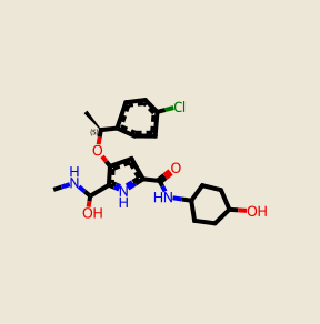 CNC(O)c1[nH]c(C(=O)NC2CCC(O)CC2)cc1O[C@@H](C)c1ccc(Cl)cc1